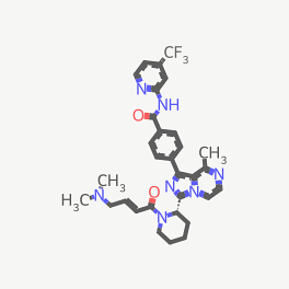 Cc1nccn2c([C@@H]3CCCCN3C(=O)/C=C/CN(C)C)nc(-c3ccc(C(=O)Nc4cc(C(F)(F)F)ccn4)cc3)c12